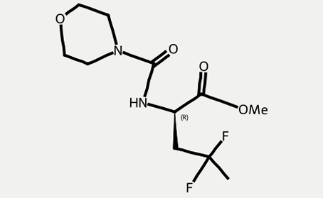 COC(=O)[C@@H](CC(C)(F)F)NC(=O)N1CCOCC1